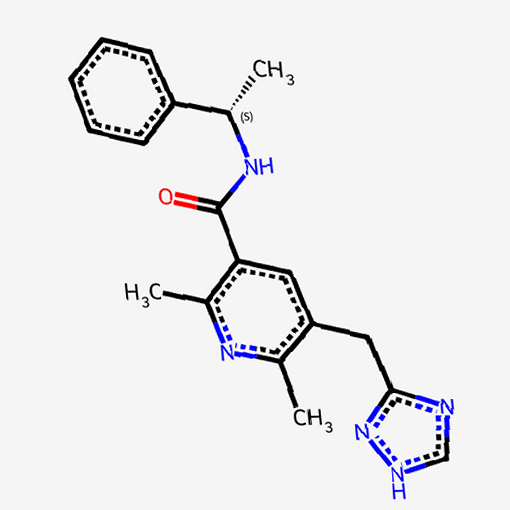 Cc1nc(C)c(C(=O)N[C@@H](C)c2ccccc2)cc1Cc1nc[nH]n1